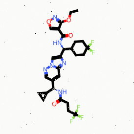 CCOc1nocc1C(=O)N[C@H](c1cn2ncc([C@H](NC(=O)CCC(F)(F)F)C3CC3)cc2n1)C1CCC(F)(F)CC1